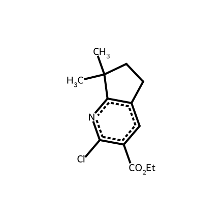 CCOC(=O)c1cc2c(nc1Cl)C(C)(C)CC2